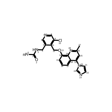 CCCC(=O)NCc1cncc(Cl)c1COc1cccc2c(-n3ccnc3)cc(C)nc12